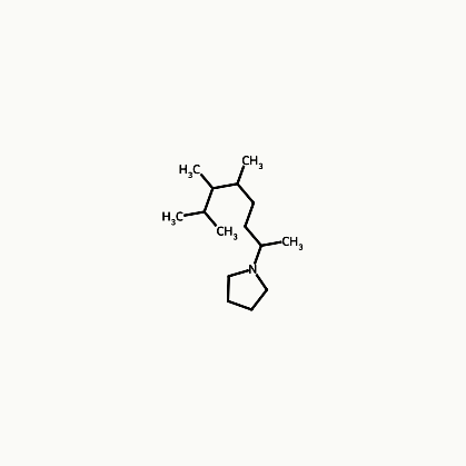 CC(C)C(C)C(C)CCC(C)N1CCCC1